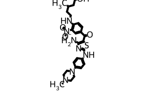 CC(CCO)CCNc1ccc(C(=O)c2sc(Nc3ccc(N4CCN(C)CC4)cc3)nc2N)cc1[N+](=O)[O-]